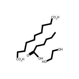 CCCCCC(=O)O.O=C(O)CCCCCCCCC(=O)O.OCCO